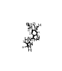 Cc1[nH]nc(Nc2ncnc3cc(N(C)C)c(P(C)(C)=O)cc23)c1C